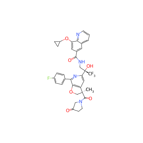 C[C@]1(C(=O)N2CCC(=O)C2)COc2c1cc([C@@](O)(CNC(=O)c1cc(OC3CC3)c3ncccc3c1)C(F)(F)F)nc2-c1ccc(F)cc1